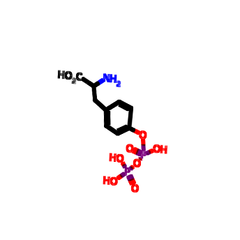 NC(Cc1ccc(OP(=O)(O)OP(=O)(O)O)cc1)C(=O)O